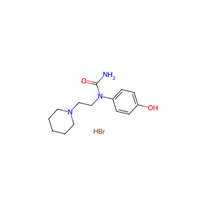 Br.NC(=O)N(CCN1CCCCC1)c1ccc(O)cc1